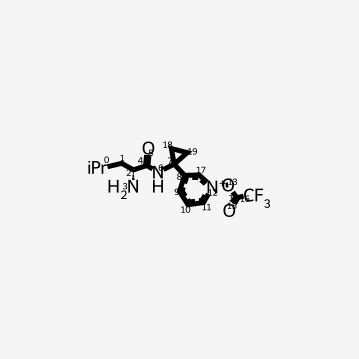 CC(C)C[C@@H](N)C(=O)NC1(c2ccc[n+](OC(=O)C(F)(F)F)c2)CC1